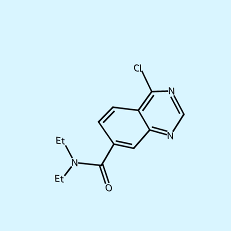 CCN(CC)C(=O)c1ccc2c(Cl)ncnc2c1